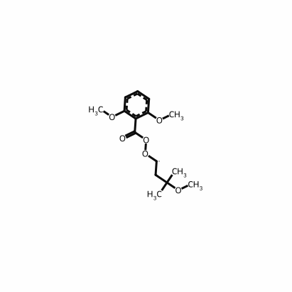 COc1cccc(OC)c1C(=O)OO[CH]CC(C)(C)OC